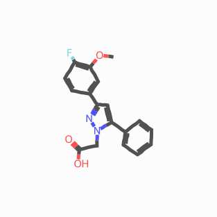 COc1cc(-c2cc(-c3ccccc3)n(CC(=O)O)n2)ccc1F